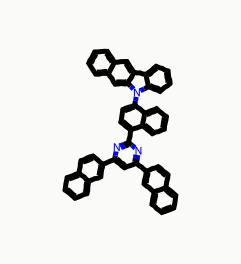 c1ccc2cc(-c3cc(-c4ccc5ccccc5c4)nc(-c4ccc(-n5c6ccccc6c6cc7ccccc7cc65)c5ccccc45)n3)ccc2c1